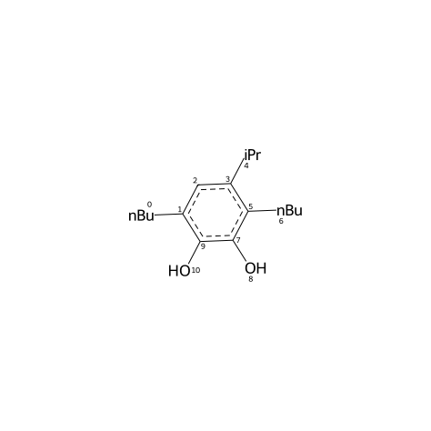 CCCCc1cc(C(C)C)c(CCCC)c(O)c1O